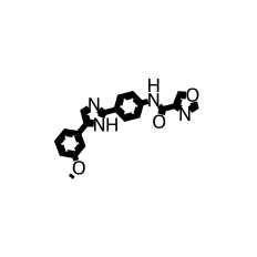 COc1cccc(-c2cnc(-c3ccc(NC(=O)c4cocn4)cc3)[nH]2)c1